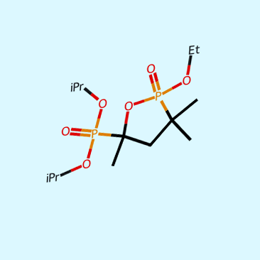 CCOP1(=O)OC(C)(P(=O)(OC(C)C)OC(C)C)CC1(C)C